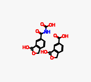 O=C(O)NC(=O)c1ccc2c(c1)B(O)OC2.O=C(O)c1ccc2c(c1)B(O)OC2